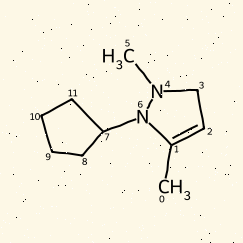 CC1=CCN(C)N1C1CCCC1